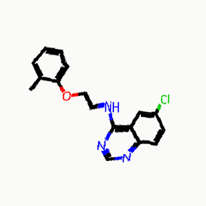 Cc1ccccc1OCCNc1ncnc2ccc(Cl)cc12